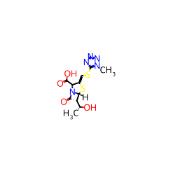 C[C@@H](O)[C@@H]1C(=O)N2C(C(=O)O)C(=CSc3nnnn3C)S[C@H]12